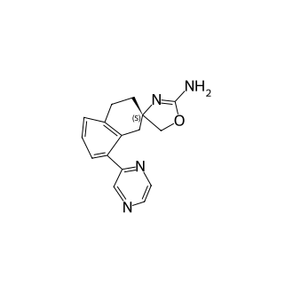 NC1=N[C@]2(CCc3cccc(-c4cnccn4)c3C2)CO1